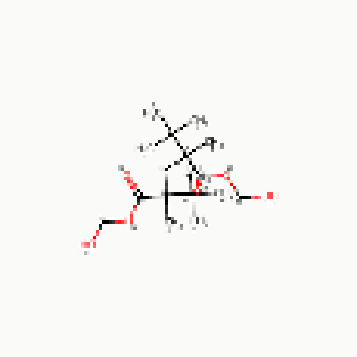 CC(C)(C)C(C)(CC(C)(C(=O)OCO)C(C)(C)C)C(=O)OCO